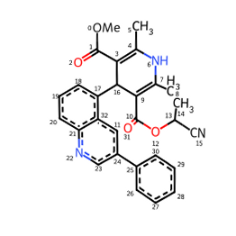 COC(=O)C1=C(C)NC(C)=C(C(=O)OC(C)C#N)C1c1cccc2ncc(-c3ccccc3)cc12